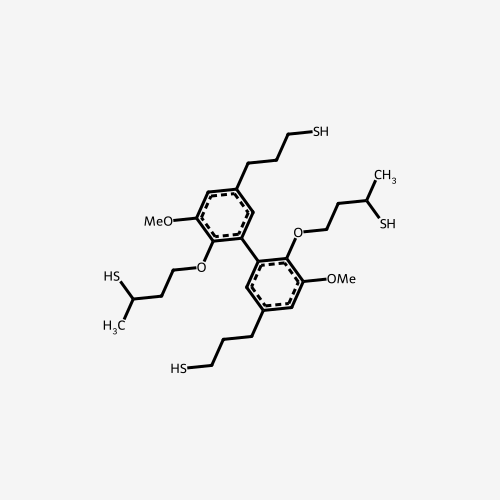 COc1cc(CCCS)cc(-c2cc(CCCS)cc(OC)c2OCCC(C)S)c1OCCC(C)S